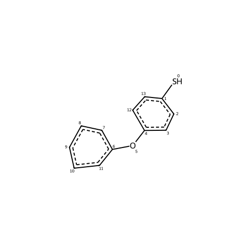 Sc1ccc(Oc2ccccc2)cc1